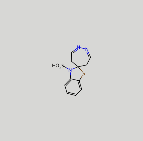 O=S(=O)(O)N1c2ccccc2SC12CC=NN=CC2